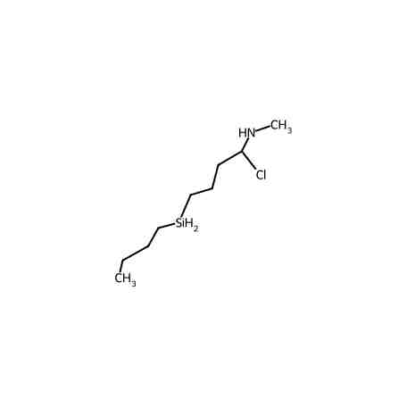 CCCC[SiH2]CCCC(Cl)NC